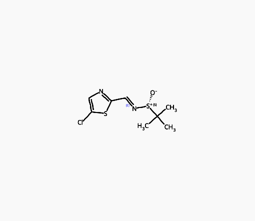 CC(C)(C)[S@@+]([O-])/N=C/c1ncc(Cl)s1